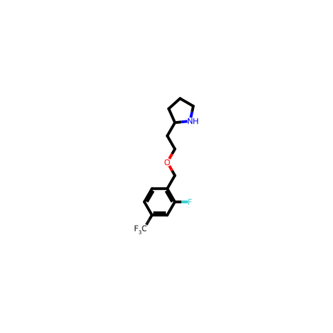 Fc1cc(C(F)(F)F)ccc1COCCC1CCCN1